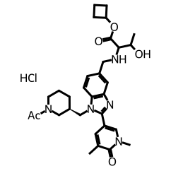 CC(=O)N1CCC[C@@H](Cn2c(-c3cc(C)c(=O)n(C)c3)nc3cc(CNC(C(=O)OC4CCC4)C(C)O)ccc32)C1.Cl